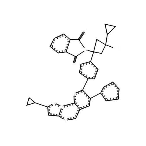 O=C1c2ccccc2C(=O)N1C1(c2ccc(-c3nc4c(cnc5cc(C6CC6)nn54)cc3-c3ccccc3)cc2)CC(O)(C2CC2)C1